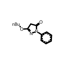 CCCCOC1=NN(c2ccccc2)C(=O)C1